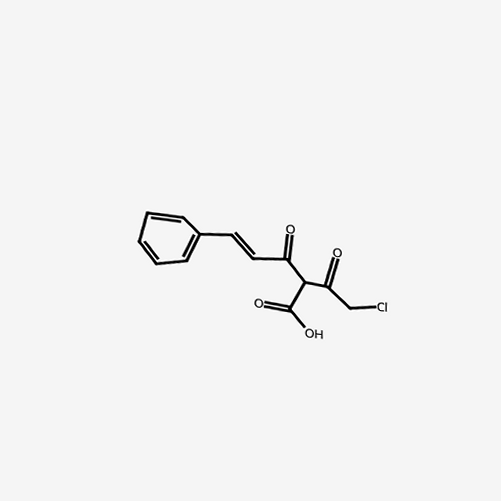 O=C(O)C(C(=O)C=Cc1ccccc1)C(=O)CCl